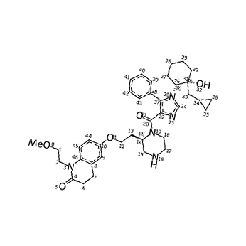 COCCN1C(=O)CCc2cc(OCC[C@@H]3CNCCN3C(=O)c3ncn([C@@H]4CCCC[C@@]4(O)CC4CC4)c3-c3ccccc3)ccc21